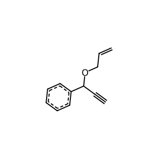 C#CC(OCC=C)c1ccccc1